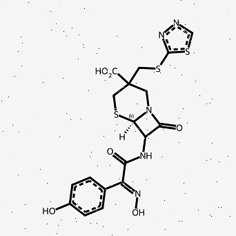 O=C(NC1C(=O)N2CC(CSc3nncs3)(C(=O)O)CS[C@H]12)C(=NO)c1ccc(O)cc1